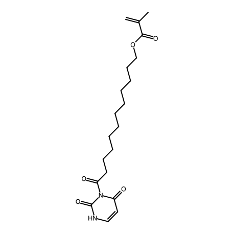 C=C(C)C(=O)OCCCCCCCCCCCC(=O)n1c(=O)cc[nH]c1=O